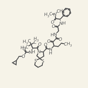 CCCC(NC(=O)C1CC2(CN1C(=O)[C@@H](NC(=O)OCC1CC1)C(C)(C)C)SCCCS2)C(=O)C(=O)NCC(=O)N[C@H](C(=O)N(C)C)c1ccccc1